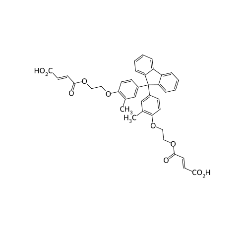 Cc1cc(C2(c3ccc(OCCOC(=O)C=CC(=O)O)c(C)c3)c3ccccc3-c3ccccc32)ccc1OCCOC(=O)C=CC(=O)O